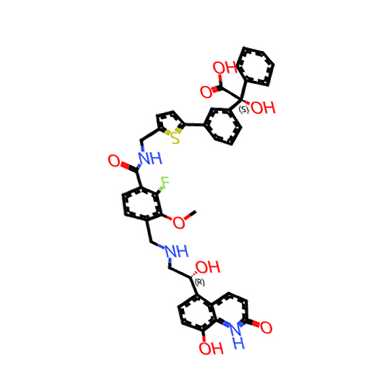 COc1c(CNC[C@H](O)c2ccc(O)c3[nH]c(=O)ccc23)ccc(C(=O)NCc2ccc(-c3cccc([C@](O)(C(=O)O)c4ccccc4)c3)s2)c1F